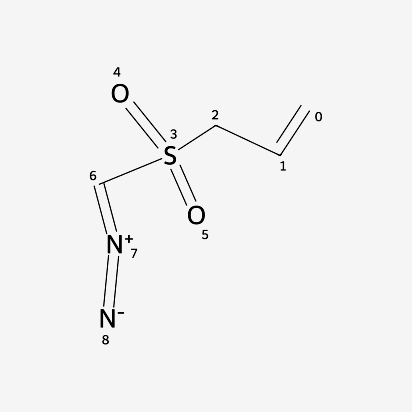 C=CCS(=O)(=O)C=[N+]=[N-]